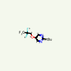 CC(C)(C)c1ncc(OCC(F)(F)C(F)(F)F)cn1